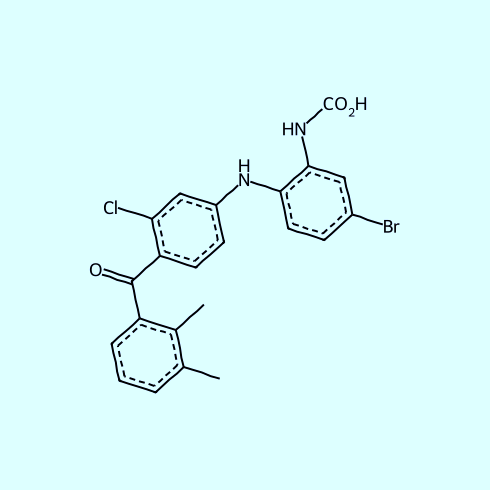 Cc1cccc(C(=O)c2ccc(Nc3ccc(Br)cc3NC(=O)O)cc2Cl)c1C